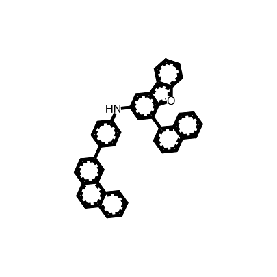 c1ccc2c(-c3cc(Nc4ccc(-c5ccc6ccc7ccccc7c6c5)cc4)cc4c3oc3ccccc34)cccc2c1